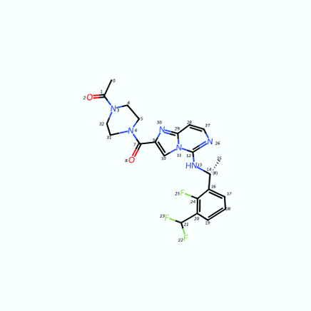 CC(=O)N1CCN(C(=O)c2cn3c(N[C@H](C)c4cccc(C(F)F)c4F)nccc3n2)CC1